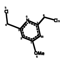 COc1cc(CCl)nc(CCl)c1